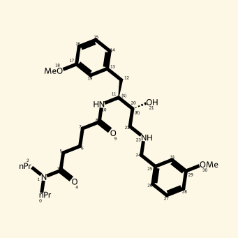 CCCN(CCC)C(=O)CCCC(=O)N[C@@H](Cc1cccc(OC)c1)[C@H](O)CNCc1cccc(OC)c1